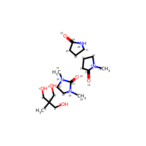 CC(CO)(CO)CO.CN1CCCC1=O.CN1CCN(C)C1=O.O=C1CCCN1